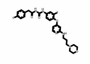 O=C(Cc1ccc(F)cc1)NC(=O)Nc1ccc(Oc2ccnc(NCCCN3CCOCC3)c2)c(F)c1